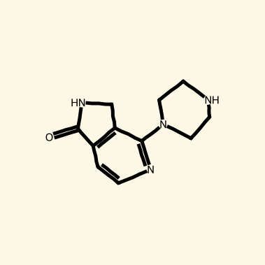 O=C1NCc2c1ccnc2N1CCNCC1